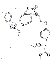 CCOC(Cc1ccc(OCCn2c(=O)sc3cc(/C(=N\OC)c4ccccc4)ccc32)cc1)C(=O)OC